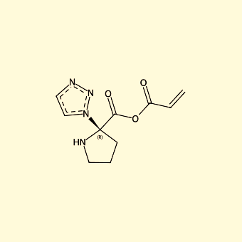 C=CC(=O)OC(=O)[C@]1(n2ccnn2)CCCN1